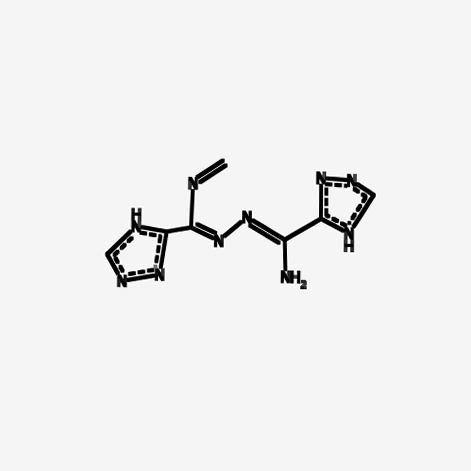 C=N/C(=N\N=C(/N)c1nnc[nH]1)c1nnc[nH]1